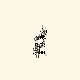 Nc1nc2c(ncn2[C@@H]2O[C@@H]3CO[P@](=O)(S)O[C@@H]4[C@H](F)[C@@H](CO[PH](=O)O[C@H]3[C@H]2F)O[C@H]4n2cnc3c(N)ncnc32)c(=O)[nH]1